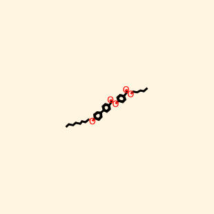 CCCCCCCCOc1ccc(-c2ccc(C(=O)Oc3ccc(C(=O)OCCCCC)cc3)cc2)cc1